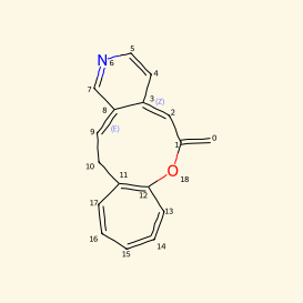 C=C1/C=c2/ccnc/c2=C/CC2=C(C=C=CC=C2)O1